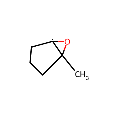 CC12CCC[C]1O2